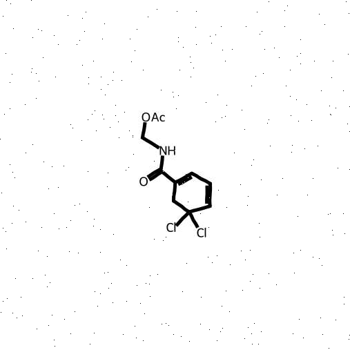 CC(=O)OCNC(=O)C1=CC=CC(Cl)(Cl)C1